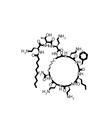 CCCCCCCCCC(=O)N[C@@H](CCN)C(=O)N[C@H](C(=O)N[C@@H](CCN)C(=O)N[C@H]1CSSC[C@H](C(N)=O)NC(=O)[C@H](CCN)NC(=O)[C@H](CCN)NC(=O)[C@H](CCCC)NC(=O)[C@@H](Cc2ccccc2)NC(=O)[C@H](CCN)NC1=O)[C@@H](C)O